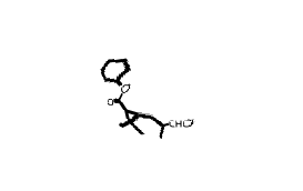 C/C(C=O)=C\C1C(C(=O)OC2CCCCC2)C1(C)C